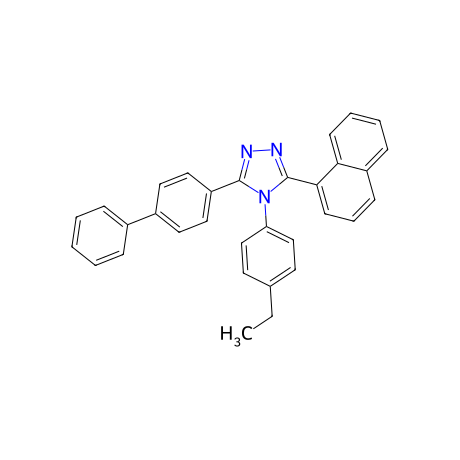 CCc1ccc(-n2c(-c3ccc(-c4ccccc4)cc3)nnc2-c2cccc3ccccc23)cc1